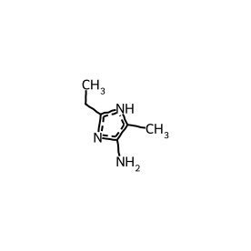 CCc1nc(N)c(C)[nH]1